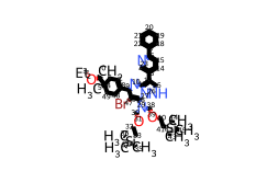 C=C(OCC)C1(C)CC=C(C2=NC3=C(c4ccc(-c5ccccc5)nc4)CNN3C(N(COCC[Si](C)(C)C)COCC[Si](C)(C)C)=C2Br)CC1